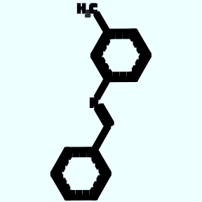 Cc1cccc(/N=C/c2ccccc2)c1